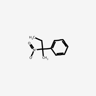 CCC(C)(c1ccccc1)[N+](=O)[O-]